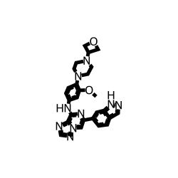 COc1cc(Nc2nc(-c3ccc4cn[nH]c4c3)cn3ncnc23)ccc1N1CCN(C2COC2)CC1